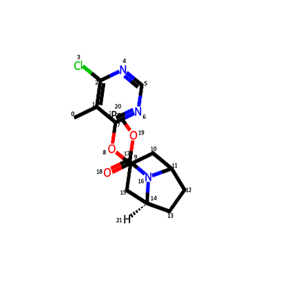 Cc1c(Cl)ncnc1OC1CC2CC[C@@H](C1)N2C(=O)OC(C)C